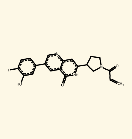 C=CC(=O)N1CCC(c2cc3ncc(-c4ccc(F)c(O)c4)cc3c(=O)[nH]2)C1